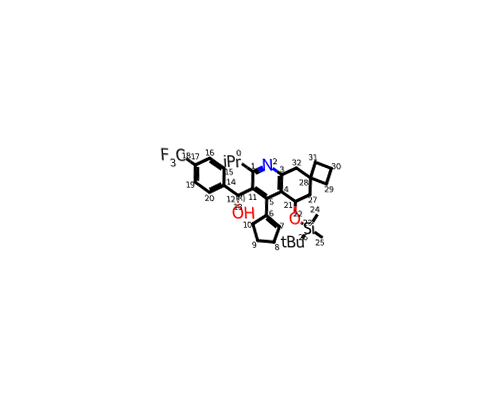 CC(C)c1nc2c(c(C3=CCCC3)c1[C@H](O)c1ccc(C(F)(F)F)cc1)C(O[Si](C)(C)C(C)(C)C)CC1(CCC1)C2